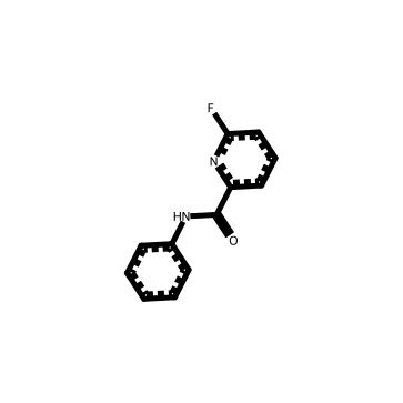 O=C(Nc1ccccc1)c1cccc(F)n1